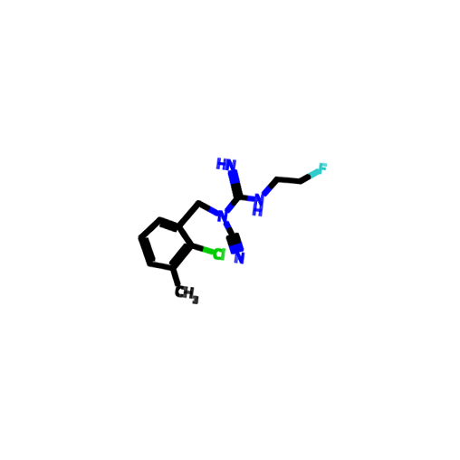 Cc1cccc(CN(C#N)C(=N)NCCF)c1Cl